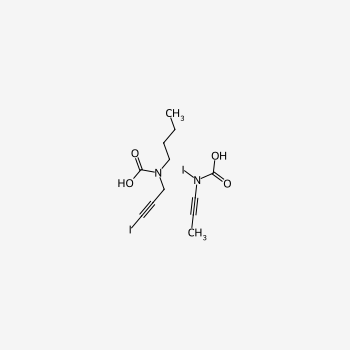 CC#CN(I)C(=O)O.CCCCN(CC#CI)C(=O)O